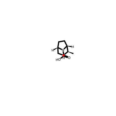 C[C@H]1NC[C@@H]2CC[C@H]1N2C(=O)O